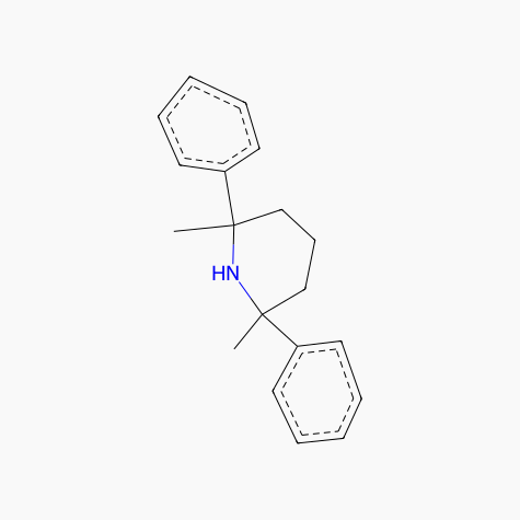 CC1(c2ccccc2)CCCC(C)(c2ccccc2)N1